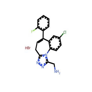 Br.NCc1nnc2n1-c1ccc(Cl)cc1C(c1ccccc1F)=CC2